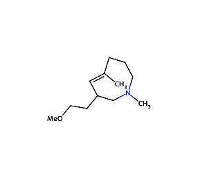 COCCC1/C=C(\C)CCCN(C)C1